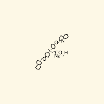 CC(CCC(=O)O)(c1ccc(OCc2ccc3ccccc3c2)cc1)c1ccc(OCc2ccc3ccccc3n2)cc1.[Na]